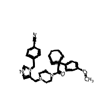 COc1ccc(C2(C(=O)N3CCN(Cc4cncn4Cc4ccc(C#N)cc4)CC3)CCCCC2)cc1